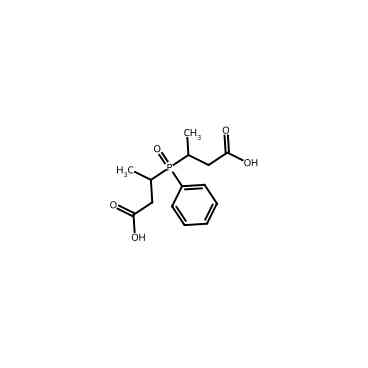 CC(CC(=O)O)P(=O)(c1ccccc1)C(C)CC(=O)O